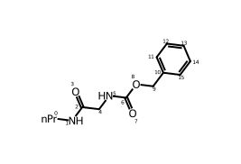 CCCNC(=O)CNC(=O)OCc1ccccc1